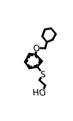 OCCSc1cccc(OCC2CCCCC2)c1